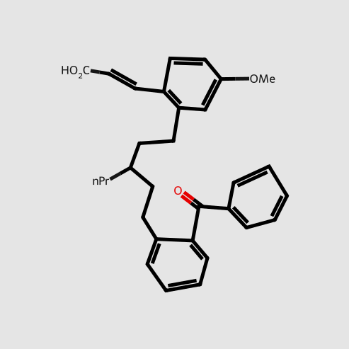 CCCC(CCc1cc(OC)ccc1C=CC(=O)O)CCc1ccccc1C(=O)c1ccccc1